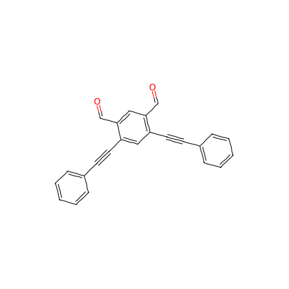 O=Cc1cc(C=O)c(C#Cc2ccccc2)cc1C#Cc1ccccc1